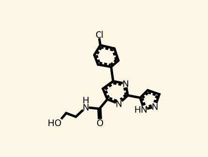 O=C(NCCO)c1cc(-c2ccc(Cl)cc2)nc(-c2ccn[nH]2)n1